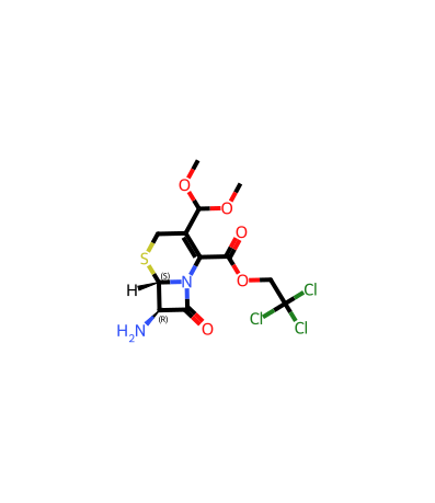 COC(OC)C1=C(C(=O)OCC(Cl)(Cl)Cl)N2C(=O)[C@@H](N)[C@@H]2SC1